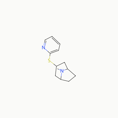 CN1C2CCC1CC(Sc1ccccn1)C2